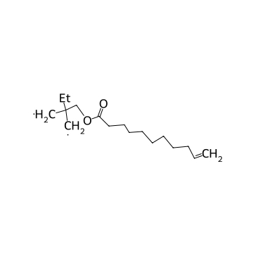 [CH2]C([CH2])(CC)COC(=O)CCCCCCCCC=C